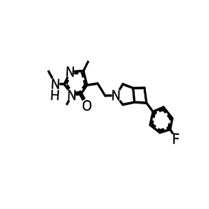 CNc1nc(C)c(CCN2CC3CC(c4ccc(F)cc4)C3C2)c(=O)n1C